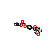 CC(C)(C)OC(=O)COc1ccc(C(=O)CS2(C)CCOCC2)cc1